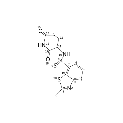 Cc1nc2cccc(C(=S)NC3CCC(=O)NC3=O)c2s1